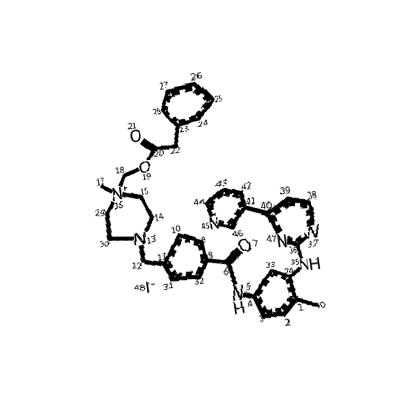 Cc1ccc(NC(=O)c2ccc(CN3CC[N+](C)(COC(=O)Cc4ccccc4)CC3)cc2)cc1Nc1nccc(-c2cccnc2)n1.[I-]